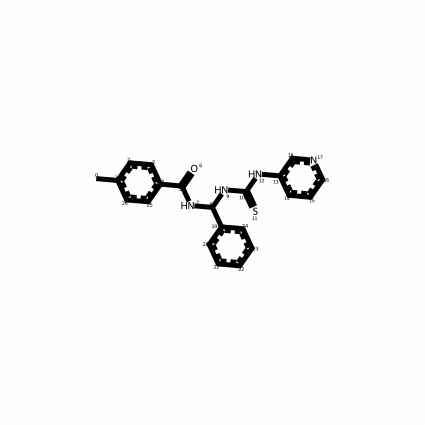 Cc1ccc(C(=O)NC(NC(=S)Nc2cccnc2)c2ccccc2)cc1